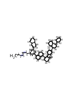 C=C/C=C\C=C/Cc1nc(C2=CC3C=CC=CC3C=C2)nc(-c2cccc3c(-c4cccc5oc6cc(-c7ccc(-c8ccccc8)c8ccccc78)ccc6c45)cccc23)n1